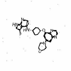 Fc1c[nH]c2ncnc(N[C@H]3CC[C@@H](Oc4cc(N5CCOCC5)cc5nccnc45)CC3)c12